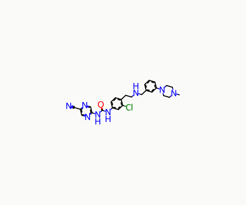 CN1CCN(c2cccc(CNCCc3ccc(NC(=O)Nc4cnc(C#N)cn4)cc3Cl)c2)CC1